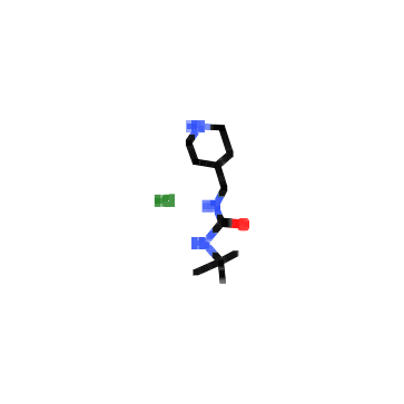 CC(C)(C)NC(=O)NCC1CCNCC1.Cl